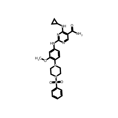 COc1cc(Nc2ncc(C(N)=O)c(NC3CC3)n2)ccc1N1CCN(S(=O)(=O)c2ccccc2)CC1